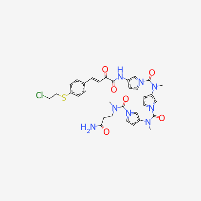 CN(CCC(N)=O)C(=O)n1ccc(N(C)C(=O)n2ccc(N(C)C(=O)n3ccc(NC(=O)C(=O)/C=C/c4ccc(SCCCl)cc4)c3)c2)c1